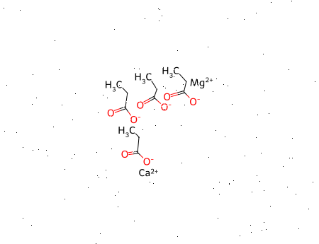 CCC(=O)[O-].CCC(=O)[O-].CCC(=O)[O-].CCC(=O)[O-].[Ca+2].[Mg+2]